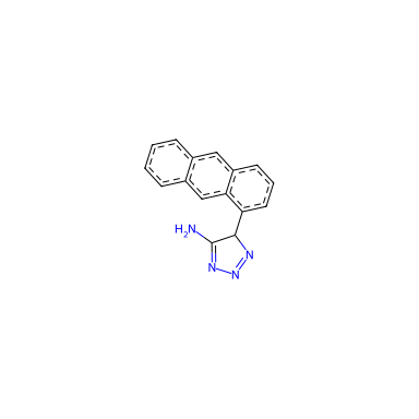 NC1=NN=NC1c1cccc2cc3ccccc3cc12